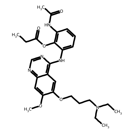 CCC(=O)Oc1c(NC(C)=O)cccc1Nc1ncnc2cc(OC)c(OCCCN(CC)CC)cc12